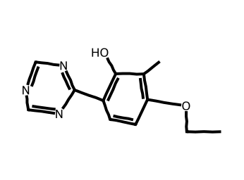 CCOc1ccc(-c2ncncn2)c(O)c1C